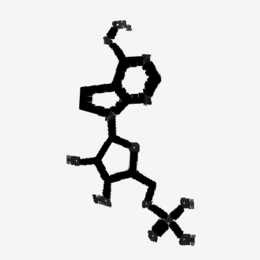 CSc1ncnc2c1ccn2C1OC(COP(=O)(O)O)C(O)C1O